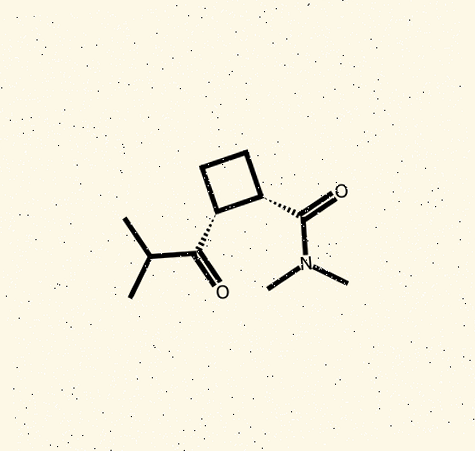 CC(C)C(=O)[C@@H]1CC[C@@H]1C(=O)N(C)C